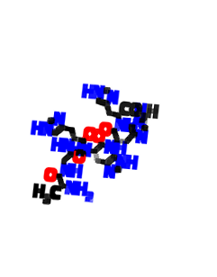 C[C@H](N)C(=O)NCC(=O)N[C@@H](Cc1c[nH]cn1)C(=O)N[C@@H](Cc1c[nH]cn1)C(=O)N[C@@H](Cc1c[nH]cn1)C(=O)N[C@@H](Cc1c[nH]cn1)C(=O)O